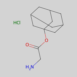 Cl.NCC(=O)OC12CC3CC(CC(C3)C1)C2